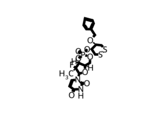 C[C@]1(F)C(n2ccc(=O)[nH]c2=O)O[C@@H]2COP(=O)(O[C@H]3CSSC[C@@H]3OCc3ccccc3)O[C@H]21